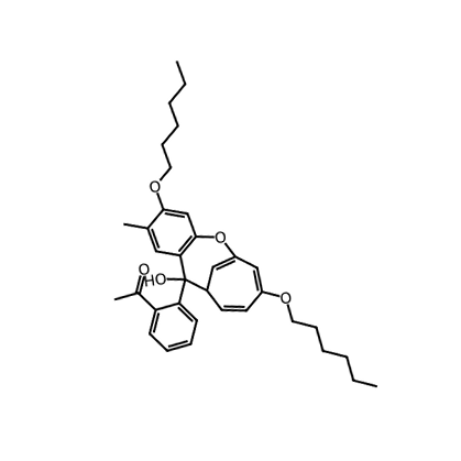 CCCCCCOC1=CC2=CC(C=C1)C(O)(c1ccccc1C(C)=O)c1cc(C)c(OCCCCCC)cc1O2